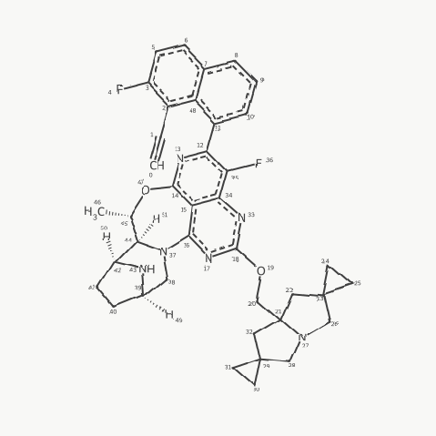 C#Cc1c(F)ccc2cccc(-c3nc4c5c(nc(OCC67CC8(CC8)CN6CC6(CC6)C7)nc5c3F)N3C[C@H]5CC[C@H](N5)[C@H]3[C@H](C)O4)c12